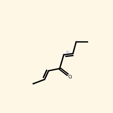 CC=CC(=O)/C=C/CC